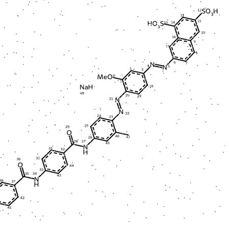 COc1cc(N=Nc2ccc3cc(S(=O)(=O)O)cc(S(=O)(=O)O)c3c2)ccc1N=Nc1ccc(NC(=O)c2ccc(NC(=O)c3ccccc3)cc2)cc1C.[NaH]